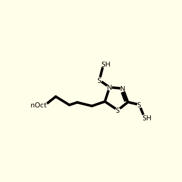 CCCCCCCCCCCCC1SC(SS)=NN1SS